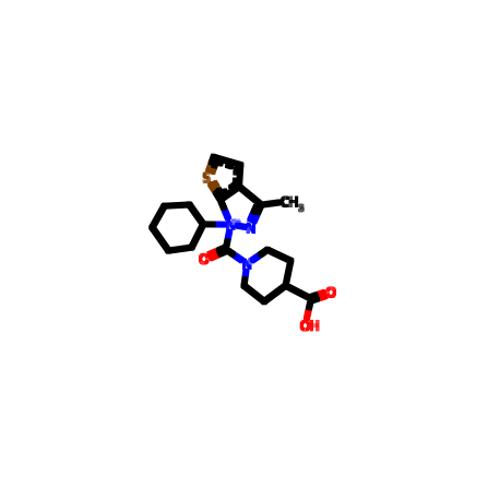 CC1=N[N+](C(=O)N2CCC(C(=O)O)CC2)(C2CCCCC2)c2sccc21